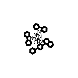 CN1C(n2c3ccccc3c3ccccc32)=NC(n2c3ccccc3c3ccccc32)=NC1n1c2cc(-c3ccccc3)ccc2c2c3ccccc3ccc21